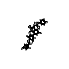 Cc1ccc(NC(=O)Cn2c(=O)n(C)c3c(-c4cc(C)c(OCc5ccn(C)n5)c(F)c4)cc(C)cc32)cc1